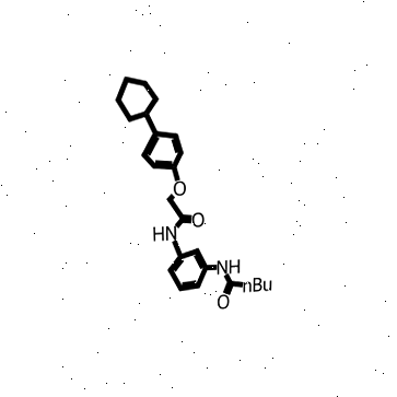 CCCCC(=O)Nc1cccc(NC(=O)COc2ccc(C3CCCCC3)cc2)c1